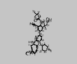 CN1CCC(Oc2ccc(Cl)cc2Nc2nccc(-c3cc(C#N)c4c(c3)C(C)(CO)CN4C(=O)OC(C)(C)C)n2)CC1